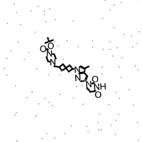 Cc1cn(C2CC3(CC(CN4CCN(C(=O)OC(C)(C)C)CC4)C3)C2)c2ncc(N3CCC(=O)NC3=O)cc12